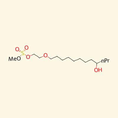 CCCC(O)CCCCCCCCOCCOS(=O)(=O)OC